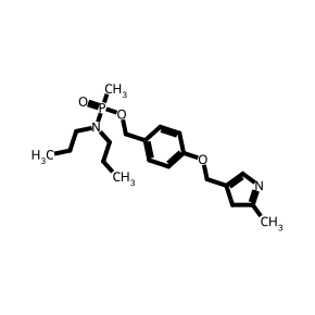 CCCN(CCC)P(C)(=O)OCc1ccc(OCC2=CN=C(C)C2)cc1